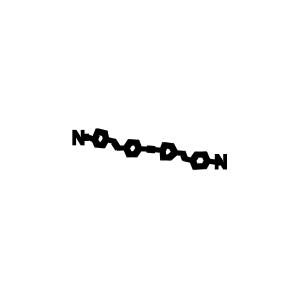 N#Cc1ccc(/C=C/c2ccc(C#Cc3ccc(/C=C/c4ccc(C#N)cc4)cc3)cc2)cc1